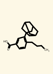 CCCCc1ccc(C(=O)O)cc1C12CC3CC(CC(C3)C1)C2